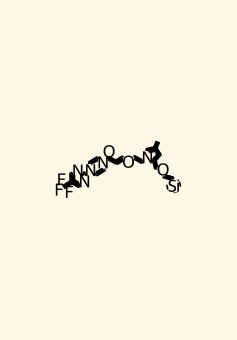 CC1=CN(CCOC=CC(=O)N2CCN(c3ncc(C(F)(F)F)cn3)CC2)C(COCC[Si](C)(C)C)C1